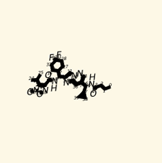 CCCC(=O)N[C@@H](c1cnn2cc([C@@H](NC(=O)c3no[n+]([O-])c3C(C)C)C3CCC(F)(F)CC3)nc2c1)C1CC1